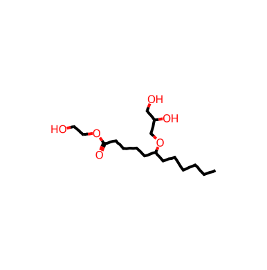 CCCCCCC(CCCCC(=O)OCCO)OCC(O)CO